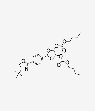 CCCCOC(=O)O[C@H]1OC(c2ccc(C3=N[C@@H](C(C)(C)C)CO3)cc2)O[C@@H]1OC(=O)OCCCC